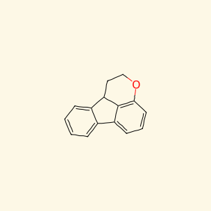 c1ccc2c(c1)-c1cccc3c1C2CCO3